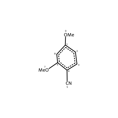 COc1ccc(C#N)c(OC)c1